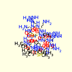 CC[C@H](C)[C@H](NC(=O)[C@H](Cc1ccc(O)cc1)NC(=O)[C@@H](NC(=O)[C@@H](NC(=O)[C@@H]1C[C@@H](O)CN1C(=O)[C@@H](N)C(C)C)[C@@H](C)CC)C(C)(C)S)C(=O)N[C@@H](CC(N)=O)C(=O)N[C@@H](CCCNC(=N)N)C(=O)N[C@@H](CCN)C(=O)N[C@H](C(=O)N[C@H](CCN)C(=O)N[C@@H](CCCCN)C(=O)N[C@@H](CCCNC(=N)N)C(=O)N[C@@H](CCN)C(=O)N[C@@H](CS)C(=O)O)[C@@H](C)O